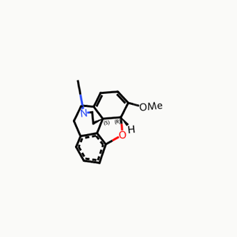 COC1=CC=C2C3Cc4cccc5c4[C@@]2(CCN3C)[C@H]1O5